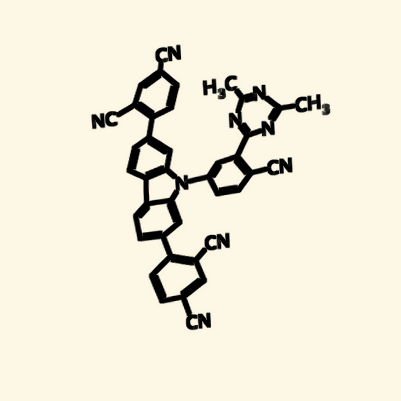 Cc1nc(C)nc(-c2cc(-n3c4cc(-c5ccc(C#N)cc5C#N)ccc4c4ccc(-c5ccc(C#N)cc5C#N)cc43)ccc2C#N)n1